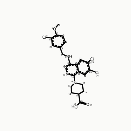 COc1ccc(CNc2nnc(N3CCC(C(=O)O)CC3)c3cc(Cl)c(Cl)cc23)cc1Cl